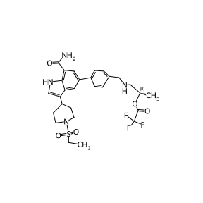 CCS(=O)(=O)N1CCC(c2c[nH]c3c(C(N)=O)cc(-c4ccc(CNC[C@@H](C)OC(=O)C(F)(F)F)cc4)cc23)CC1